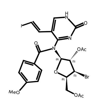 COc1ccc(C(=O)N(c2nc(=O)[nH]cc2C=CI)[C@@H]2O[C@H](COC(C)=O)[C@H](Br)[C@H]2OC(C)=O)cc1